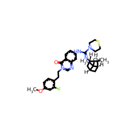 COc1ccc(CCn2cnc3cc(NC(=N[C@H]4C[C@@H]5C[C@H]([C@@H]4C)C5(C)C)N4CCSCC4)ccc3c2=O)c(F)c1